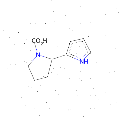 O=C(O)N1CCCC1c1ccc[nH]1